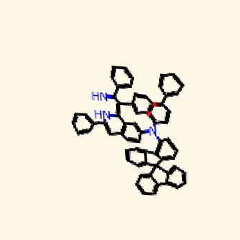 N=C(/C(=C1\NC(c2ccccc2)=Cc2ccc(N(c3ccc(-c4ccccc4)cc3)c3cccc4c3-c3ccccc3C43c4ccccc4-c4ccccc43)cc21)c1ccccc1)c1ccccc1